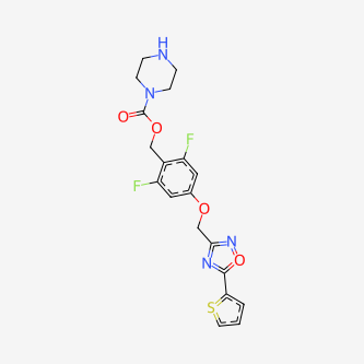 O=C(OCc1c(F)cc(OCc2noc(-c3cccs3)n2)cc1F)N1CCNCC1